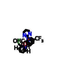 O=Cc1c(-c2ncccn2)cccc1N1[C@H](CF)[C@@H]2CC[C@H]1[C@H](Oc1ccc(C(F)(F)F)cn1)C2